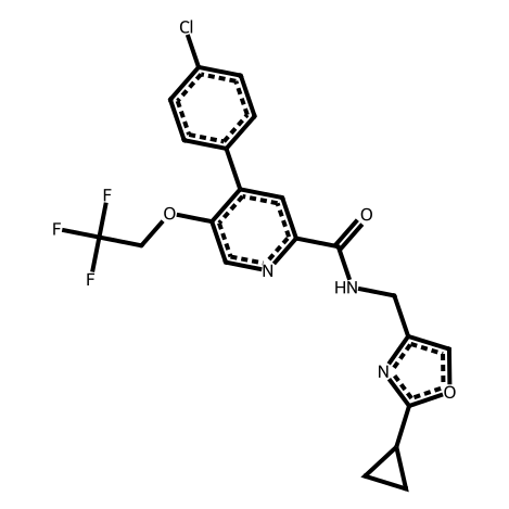 O=C(NCc1coc(C2CC2)n1)c1cc(-c2ccc(Cl)cc2)c(OCC(F)(F)F)cn1